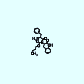 CCCCOC(=O)N(C(=O)C(N)Cc1ccccc1)C(Cc1ccccc1)C(=O)O